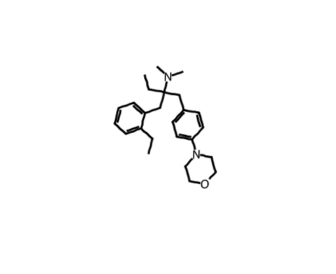 CCc1ccccc1CC(CC)(Cc1ccc(N2CCOCC2)cc1)N(C)C